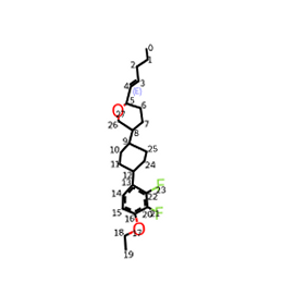 CCC/C=C/C1CCC(C2CCC(c3ccc(OCC)c(F)c3F)CC2)CO1